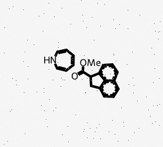 C1=CC=CNC=C1.COC(=O)C1Cc2cccc3cccc1c23